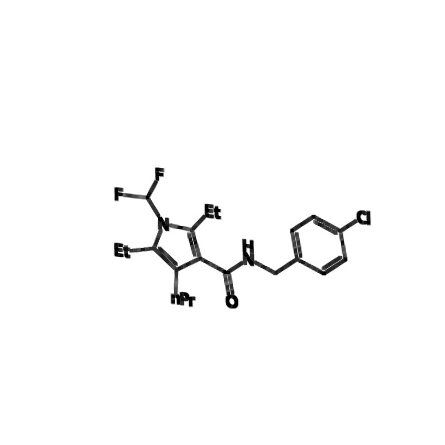 CCCc1c(C(=O)NCc2ccc(Cl)cc2)c(CC)n(C(F)F)c1CC